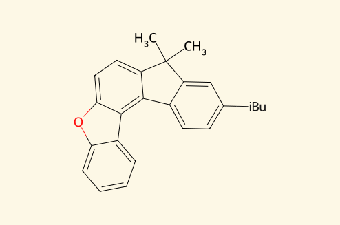 CCC(C)c1ccc2c(c1)C(C)(C)c1ccc3oc4ccccc4c3c1-2